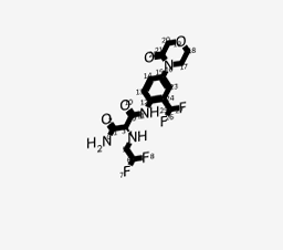 NC(=O)[C@@H](NCC(F)F)C(=O)Nc1ccc(N2CCOCC2=O)cc1C(F)F